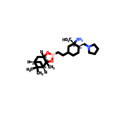 CC1(C)[C@H]2C[C@@H]3OB(CCC4CC[C@@H](CN5CCCC5)[C@@](N)(C(=O)O)C4)O[C@]3(C)[C@@H]1C2